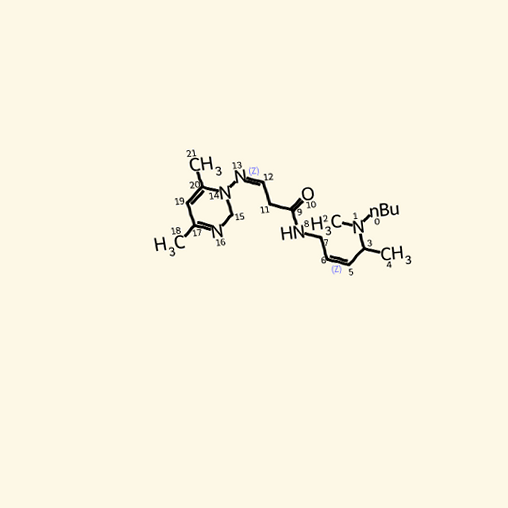 CCCCN(C)C(C)/C=C\CNC(=O)C/C=N\N1CN=C(C)C=C1C